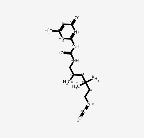 Cc1cc(=O)nc(NC(=O)NCC(C)CC(C)(C)CCN=C=O)[nH]1